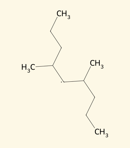 CCCC(C)[CH]C(C)CCC